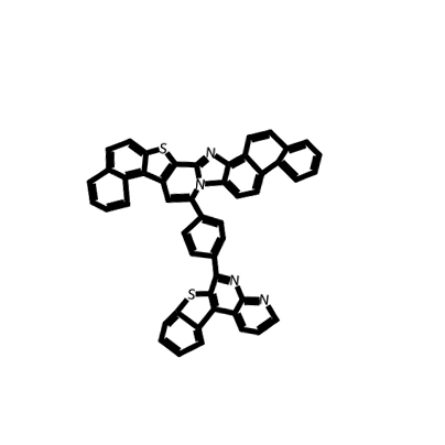 c1ccc2c(c1)ccc1c2ccc2c1nc1c3sc4ccc5ccccc5c4c3cc(-c3ccc(-c4nc5ncccc5c5c4sc4ccccc45)cc3)n21